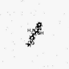 CC(C)(C)OC(=O)N1CCC(=CC[C@H](N)C(O)c2nc3ccccc3o2)CC1